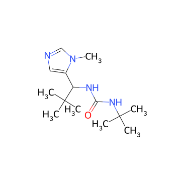 Cn1cncc1C(NC(=O)NC(C)(C)C)C(C)(C)C